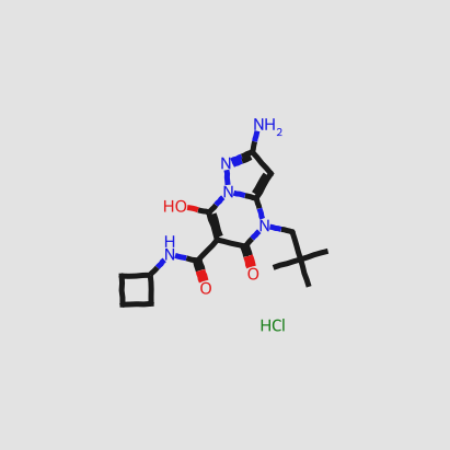 CC(C)(C)Cn1c(=O)c(C(=O)NC2CCC2)c(O)n2nc(N)cc12.Cl